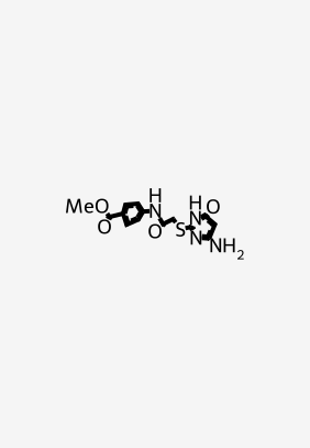 COC(=O)c1ccc(NC(=O)CSc2nc(N)cc(=O)[nH]2)cc1